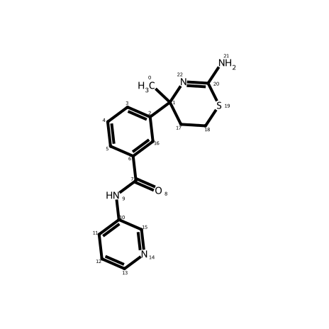 CC1(c2cccc(C(=O)Nc3cccnc3)c2)CCSC(N)=N1